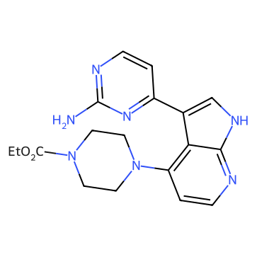 CCOC(=O)N1CCN(c2ccnc3[nH]cc(-c4ccnc(N)n4)c23)CC1